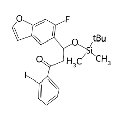 CC(C)(C)[Si](C)(C)OC(CC(=O)c1ccccc1I)c1cc2ccoc2cc1F